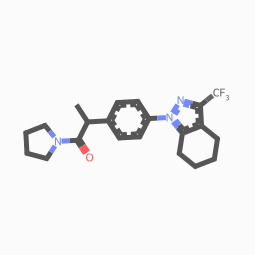 CC(C(=O)N1CCCC1)c1ccc(-n2nc(C(F)(F)F)c3c2CCCC3)cc1